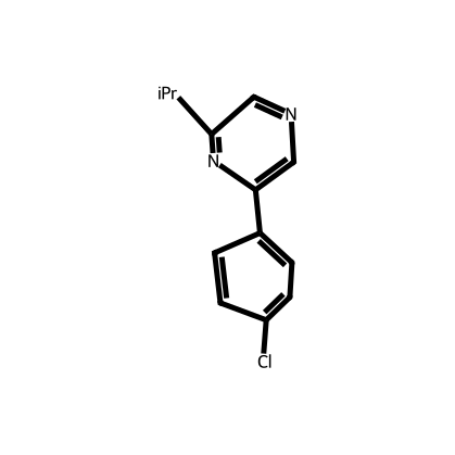 CC(C)c1cncc(-c2ccc(Cl)cc2)n1